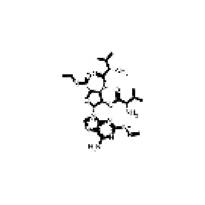 C=NNc1nc(N)c2ncn([C@@H]3O[C@H](C(=O)NCC)[C@@H](OC(=O)[C@@H](N)C(C)C)[C@H]3OC(=O)[C@@H](N)C(C)C)c2n1